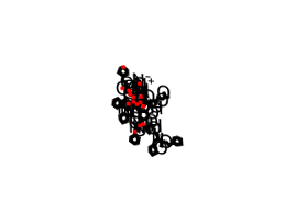 CC(=O)OC[C@H]1O[C@@H](O[C@@H]2[C@@H](O)[C@H](NC(=O)[C@H](CCNC(=O)OCc3ccccc3)OCc3ccccc3)[C@@H](OCc3ccccc3)[C@H](NC(=O)OCc3ccccc3)[C@H]2O[C@H]2O[C@H]([C@H](C)N(Cc3ccccc3)C(=O)OCc3ccccc3)CC[C@H]2N=[N+]=[N-])[C@H](OC(C)=O)[C@@H]1OC1OC(CN=[N+]=[N-])C(OC(C)=O)C(OC(C)=O)C1N=[N+]=[N-]